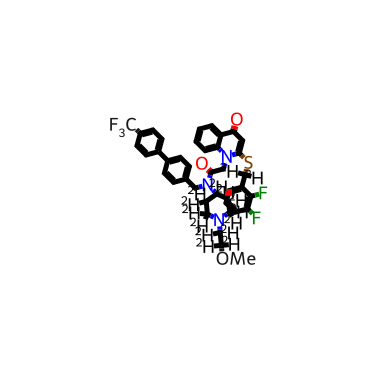 [2H]C([2H])(Sc1cc(=O)c2ccccc2n1CC(=O)N(Cc1ccc(-c2ccc(C(F)(F)F)cc2)cc1)C1([2H])C([2H])([2H])C([2H])([2H])N(C([2H])([2H])C([2H])([2H])OC)C([2H])([2H])C1([2H])[2H])c1cccc(F)c1F